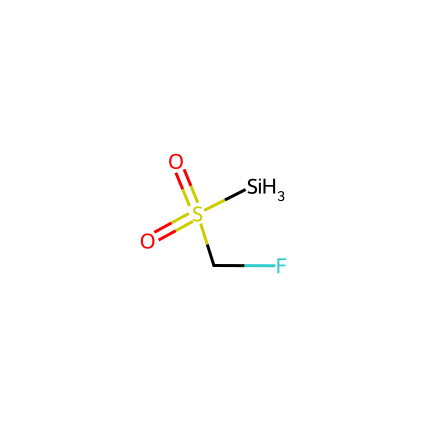 O=S(=O)([SiH3])CF